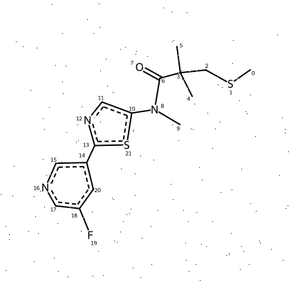 CSCC(C)(C)C(=O)N(C)c1cnc(-c2cncc(F)c2)s1